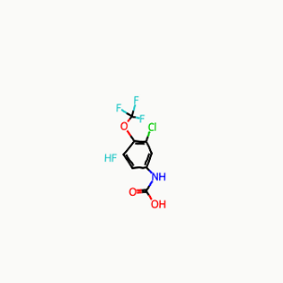 F.O=C(O)Nc1ccc(OC(F)(F)F)c(Cl)c1